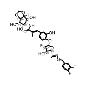 CC(=Cc1ccc(O[C@@H]2O[C@H](C(C)=NOCc3ccc(F)c(F)c3)[C@@H](O)[C@@H]2F)c(O)c1)C(=O)N[C@@H]1[C@H](O)[C@@H](O)[C@H]2OCO[C@H]2[C@@H]1O